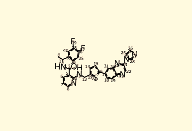 CC(NC(=O)c1cccnc1NCc1ccc(-c2ccc3ncc(-n4ccnc4)nc3c2)s1)c1ccc(F)c(F)c1